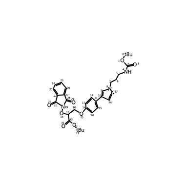 CC(C)(C)OC(=O)NCCCn1cc(-c2ccc(OCC(ON3C(=O)c4ccccc4C3=O)C(=O)OC(C)(C)C)cc2)cn1